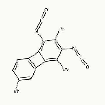 CC(C)c1ccc2c(c1)-c1c-2c(N=C=O)c(C(C)C)c(N=C=O)c1C(C)C